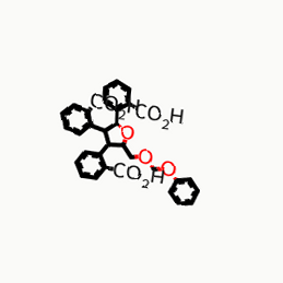 O=C(O)c1ccccc1C1OC(COCOc2ccccc2)C(c2ccccc2C(=O)O)C1c1ccccc1C(=O)O